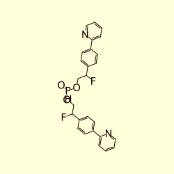 O=[PH](OCC(F)c1ccc(-c2ccccn2)cc1)OCC(F)c1ccc(-c2ccccn2)cc1